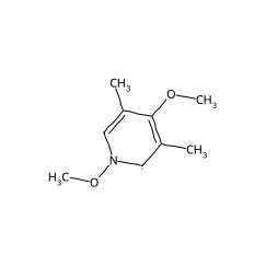 COC1=C(C)[CH]N(OC)C=C1C